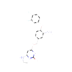 Nc1cc(COc2cc3n(c(=O)n2)CCN3)ccc1Oc1ccc(F)c(F)c1